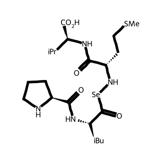 CC[C@H](C)[C@H](NC(=O)[C@@H]1CCCN1)C(=O)[Se]N[C@@H](CCSC)C(=O)N[C@H](C(=O)O)C(C)C